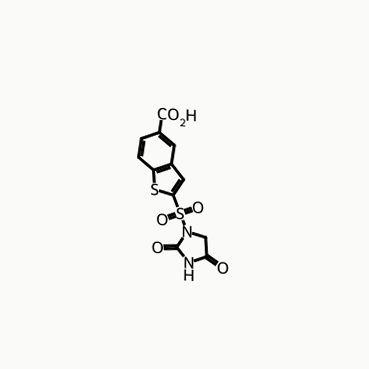 O=C1CN(S(=O)(=O)c2cc3cc(C(=O)O)ccc3s2)C(=O)N1